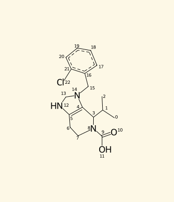 CC(C)C1C2=C(CCN1C(=O)O)NCN2Cc1ccccc1Cl